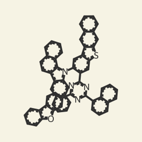 c1ccc2cc3c(cc2c1)sc1cc(-c2nc(-c4ccc5c(c4)oc4ccccc45)nc(-c4cccc5ccccc45)n2)c(-n2c4cc5ccccc5cc4c4ccc5ccccc5c42)cc13